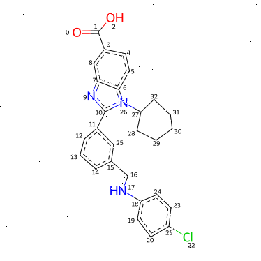 O=C(O)c1ccc2c(c1)nc(-c1cccc(CNc3ccc(Cl)cc3)c1)n2C1CCCCC1